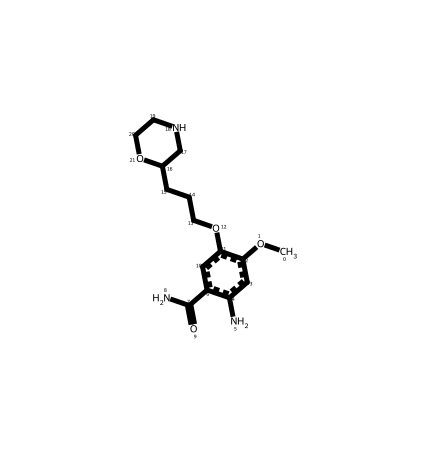 COc1cc(N)c(C(N)=O)cc1OCCCC1CNCCO1